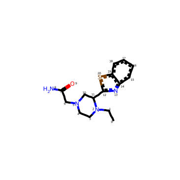 CCN1CCN(CC(N)=O)CC1c1nc2ccccc2s1